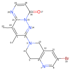 Cc1c(N2CCc3ncc(Br)cc3C2)nn2c(=O)ccnc2c1C